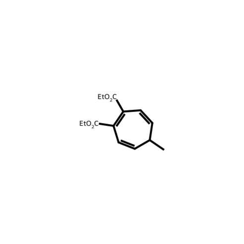 CCOC(=O)C1=C(C(=O)OCC)C=CC(C)C=C1